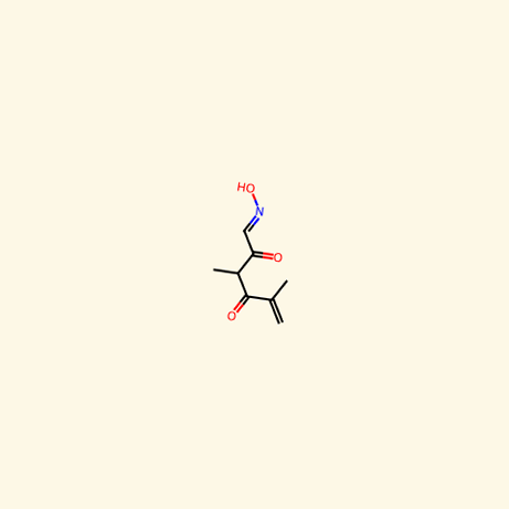 C=C(C)C(=O)C(C)C(=O)C=NO